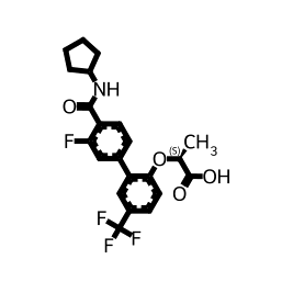 C[C@H](Oc1ccc(C(F)(F)F)cc1-c1ccc(C(=O)NC2CCCC2)c(F)c1)C(=O)O